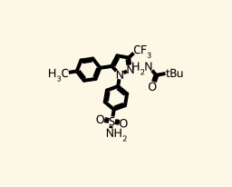 CC(C)(C)C(N)=O.Cc1ccc(-c2cc(C(F)(F)F)nn2-c2ccc(S(N)(=O)=O)cc2)cc1